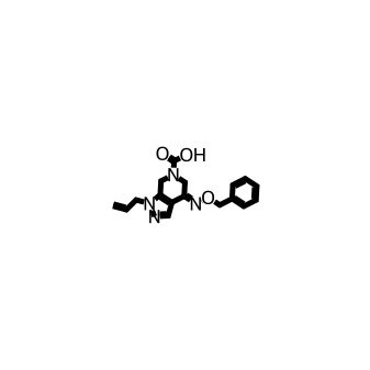 C=CCn1ncc2c1CN(C(=O)O)CC2=NOCc1ccccc1